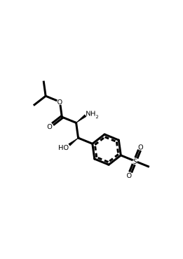 CC(C)OC(=O)[C@@H](N)[C@H](O)c1ccc(S(C)(=O)=O)cc1